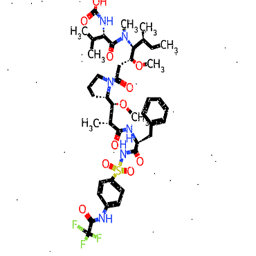 CC[C@H](C)[C@@H]([C@@H](CC(=O)N1CCC[C@H]1[C@H](OC)[C@@H](C)C(=O)N[C@@H](Cc1ccccc1)C(=O)NS(=O)(=O)c1ccc(NC(=O)C(F)(F)F)cc1)OC)N(C)C(=O)[C@@H](NC(=O)O)C(C)C